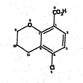 O=C(O)c1ccc(Cl)c2c1OCCC2